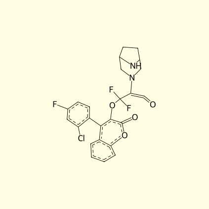 O=C=C(N1CC2CCC(C1)N2)C(F)(F)Oc1c(-c2ccc(F)cc2Cl)c2ccccc2oc1=O